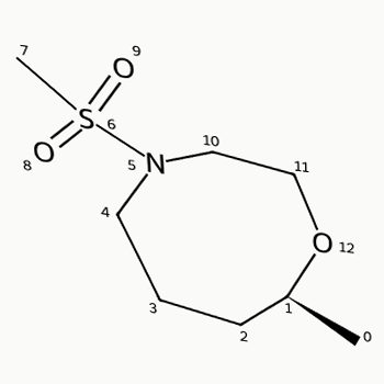 C[C@H]1CCCN(S(C)(=O)=O)CCO1